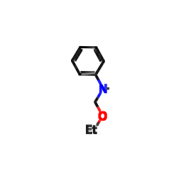 CCOC[N]c1ccccc1